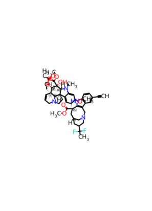 C#Cc1ccc2[nH]c3c(c2c1)CN1CC(C(C)(F)F)C[C@@H](C1)C[C@]3(C(=O)OC)C1C=C2C(=CC1OC)N(C)[C@H]1[C@@](O)(C(=O)OC)[C@H](OC(C)=O)[C@]3(CC)C=CCN4CC[C@]21[C@@H]43